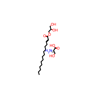 CCCCCCCCCCCCCC=CC(=O)OCC(O)CO.N[C@@H](CO)C(=O)O